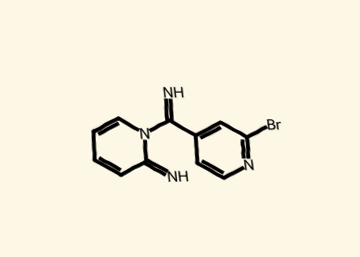 N=C(c1ccnc(Br)c1)n1ccccc1=N